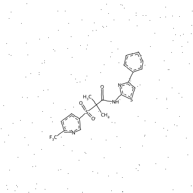 CC(C)(C(=O)Nc1nc(-c2ccccc2)cs1)S(=O)(=O)c1ccc(C(F)(F)F)nc1